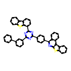 c1ccc(-c2cccc(-c3nc(-c4ccc(-c5nc6sc7ccccc7c6c6ccccc56)cc4)nc(-c4cccc5c4sc4ccccc45)n3)c2)cc1